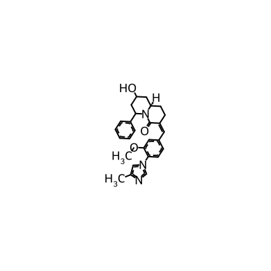 COc1cc(/C=C2/CC[C@H]3CC(O)CC(c4ccccc4)N3C2=O)ccc1-n1cnc(C)c1